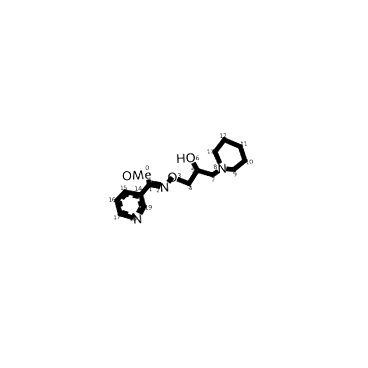 CO/C(=N\OCC(O)CN1CCCCC1)c1cccnc1